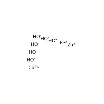 [Co+2].[Fe+2].[OH-].[OH-].[OH-].[OH-].[OH-].[OH-].[Zn+2]